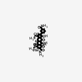 CN(C)c1cc(-c2cccc(C(N)=O)c2)c(O)c2c1C[C@H]1C[C@H]3[C@H](N(C)C)C(O)=C(C(N)=O)C(=O)[C@@]3(O)C(O)=C1C2=O